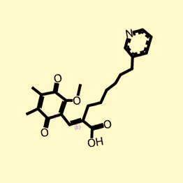 COC1=C(/C=C(\CCCCCCc2cccnc2)C(=O)O)C(=O)C(C)=C(C)C1=O